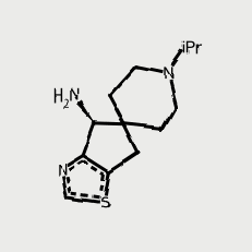 CC(C)N1CCC2(CC1)Cc1scnc1[C@H]2N